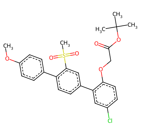 COc1ccc(-c2ccc(-c3cc(Cl)ccc3OCC(=O)OC(C)(C)C)cc2S(C)(=O)=O)cc1